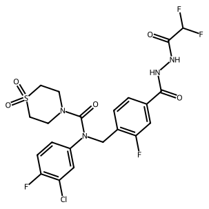 O=C(NNC(=O)C(F)F)c1ccc(CN(C(=O)N2CCS(=O)(=O)CC2)c2ccc(F)c(Cl)c2)c(F)c1